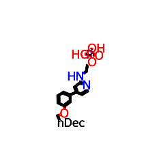 CCCCCCCCCCCOc1cccc(-c2ccnc(NCCOP(=O)(O)O)c2)c1